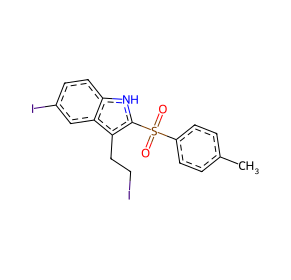 Cc1ccc(S(=O)(=O)c2[nH]c3ccc(I)cc3c2CCI)cc1